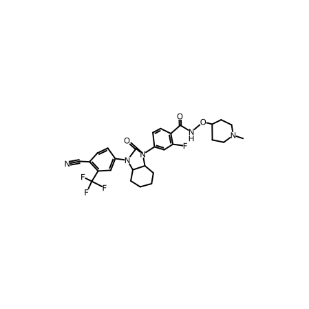 CN1CCC(ONC(=O)c2ccc(N3C(=O)N(c4ccc(C#N)c(C(F)(F)F)c4)C4CCCCC43)cc2F)CC1